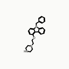 [CH]1CN(CCOc2cccc3c2c2ccccc2n3Cc2ccccc2)CCN1